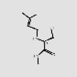 CNC(=O)[C@H](CS)NCC=C(C)C